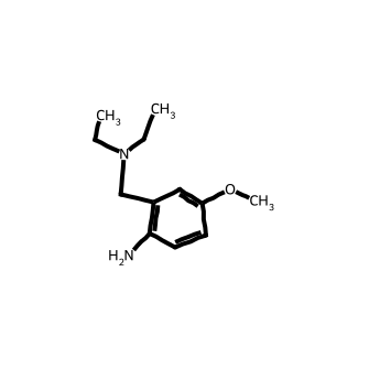 CCN(CC)Cc1cc(OC)ccc1N